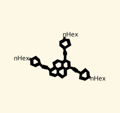 CCCCCCc1ccc(C#Cc2ccc3ccc4c(C#Cc5ccc(CCCCCC)cc5)cc(C#Cc5ccc(CCCCCC)cc5)c5ccc2c3c45)cc1